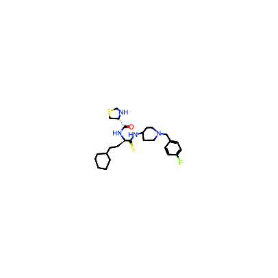 O=C(N[C@H](CCC1CCCCC1)C(=S)NC1CCN(Cc2ccc(F)cc2)CC1)[C@@H]1CSCN1